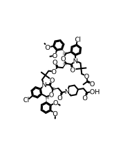 COc1cccc([C@H]2O[C@H](CC(=O)OCC(C)(C)CN3C(=O)[C@@H](CC(=O)N4CCC(CC(=O)O)CC4)O[C@H](c4cccc(OC)c4OC)c4cc(Cl)ccc43)C(=O)N(CC(C)(C)COC(C)=O)c3ccc(Cl)cc32)c1OC